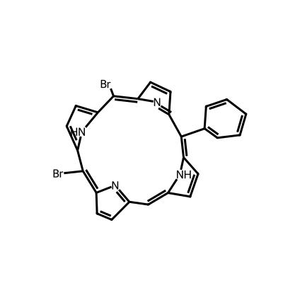 Brc1c2nc(cc3ccc([nH]3)c(-c3ccccc3)c3nc(c(Br)c4ccc1[nH]4)C=C3)C=C2